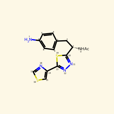 CC(=O)N[C@@H](Cc1ccc(N)cc1)c1nnc(-c2cscn2)s1